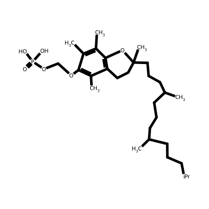 Cc1c(C)c2c(c(C)c1OCOP(=O)(O)O)CCC(C)(CCCC(C)CCCC(C)CCCC(C)C)O2